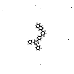 c1ccc(-c2nc(-c3ccccc3)nc(-c3ccc(-c4cccc(-c5ccc6ccccc6c5)c4)cc3)n2)cc1